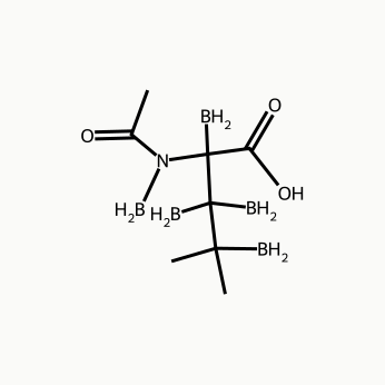 BN(C(C)=O)C(B)(C(=O)O)C(B)(B)C(B)(C)C